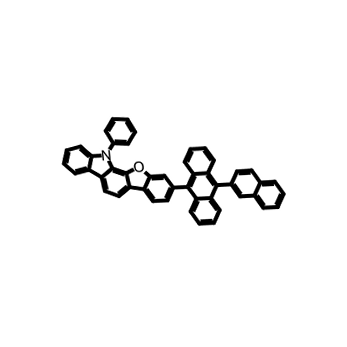 c1ccc(-n2c3ccccc3c3ccc4c5ccc(-c6c7ccccc7c(-c7ccc8ccccc8c7)c7ccccc67)cc5oc4c32)cc1